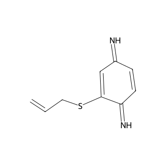 C=CCSC1=CC(=N)C=CC1=N